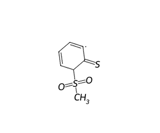 CS(=O)(=O)C1C=CC=[C]C1=S